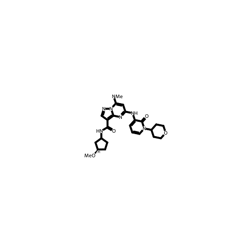 CNc1cc(Nc2cccn(C3CCOCC3)c2=O)nc2c(C(=O)NC3CC[C@@H](OC)C3)cnn12